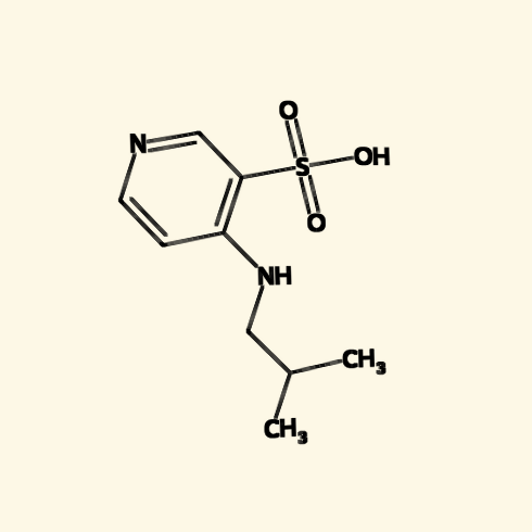 CC(C)CNc1ccncc1S(=O)(=O)O